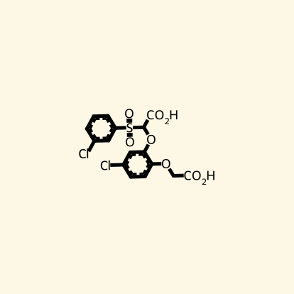 O=C(O)COc1ccc(Cl)cc1OC(C(=O)O)S(=O)(=O)c1cccc(Cl)c1